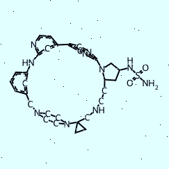 NS(=O)(=O)NC1CC2CCNCC3(CC3)N3CCN(CC3)Cc3cccc(c3)Nc3cc(ccn3)-c3cnc(nc3)N2C1